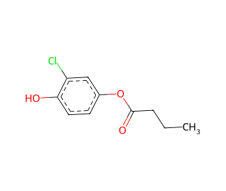 CCCC(=O)Oc1ccc(O)c(Cl)c1